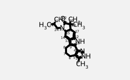 Cc1[nH]nc2c1CCCc1c-2[nH]c2c1=CC1C(C=2)C(C)(C)C(=O)N1CC(C)C